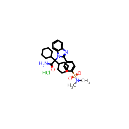 CN(C)S(=O)(=O)c1ccc(-c2nc3ccccc3n2C(C(N)=O)(C2CCCCC2)C2CCCCC2)cc1.Cl